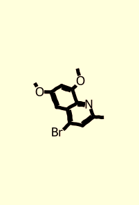 COc1cc(OC)c2nc(C)cc(Br)c2c1